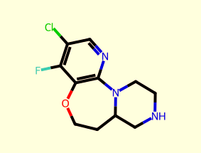 Fc1c(Cl)cnc2c1OCCC1CNCCN21